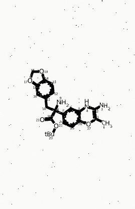 CC1=C(N)Nc2cc(C(N)(Cc3ccc4c(c3)OCO4)C(=O)OC(C)(C)C)ccc2O1